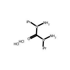 CC(C)N(N)C(=O)N(N)C(C)C.Cl.Cl